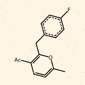 CC(=O)C1=C(Cc2ccc(F)cc2)OC(C)=C=C1